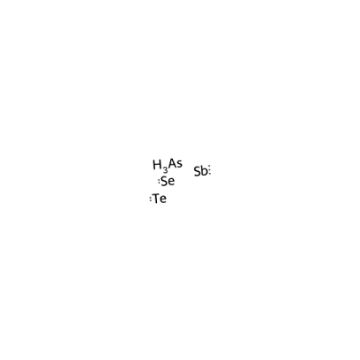 [AsH3].[Sb].[Se].[Te]